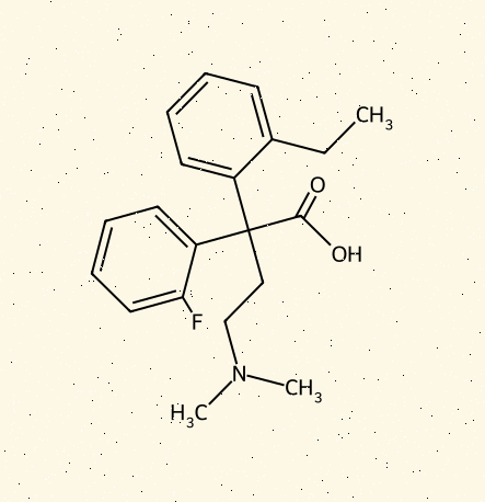 CCc1ccccc1C(CCN(C)C)(C(=O)O)c1ccccc1F